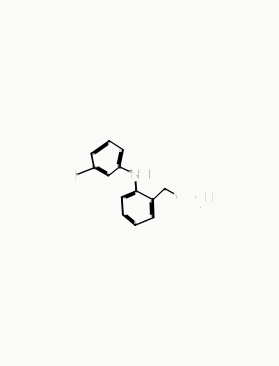 O=C(O)Cc1ccccc1Nc1cccc(Cl)c1